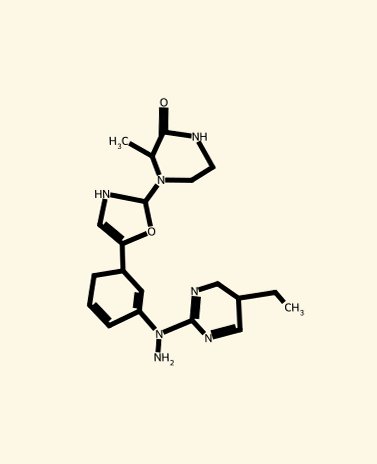 CCC1C=NC(N(N)C2=CC(C3=CNC(N4CCNC(=O)C4C)O3)CC=C2)=NC1